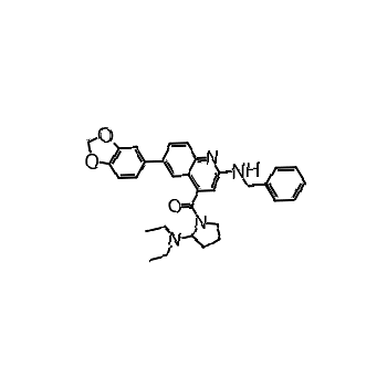 CCN(CC)C1CCCN1C(=O)c1cc(NCc2ccccc2)nc2ccc(-c3ccc4c(c3)OCO4)cc12